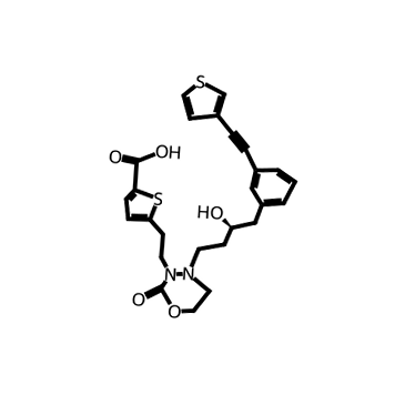 O=C(O)c1ccc(CCN2C(=O)OCCN2CC[C@@H](O)Cc2cccc(C#Cc3ccsc3)c2)s1